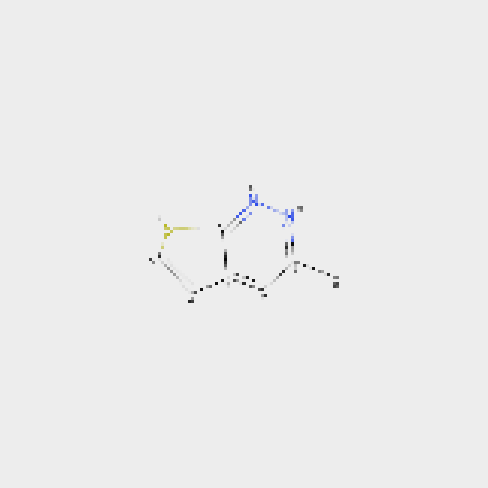 Cc1cc2ccsc2nn1